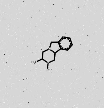 CCN1CC2c3ccccc3CN2CC1C